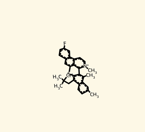 Cc1ccc2c(CC(C)(C)C)c3c(c(C)c2c1)-c1c2c(cc4ccc(F)cc4c2cc[n+]1C)S3